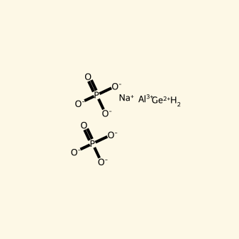 O=P([O-])([O-])[O-].O=P([O-])([O-])[O-].[Al+3].[GeH2+2].[Na+]